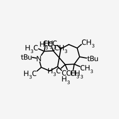 CC1CC(C)C2(C(C)CC(C)N(C(C)(C)C)C(C)(C)C2(C)C)C(C)(C)C(C)(C)C1C(C)(C)C